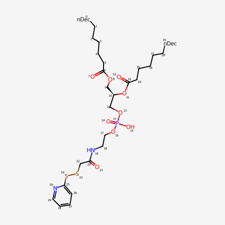 CCCCCCCCCCCCCCCC(=O)OC[C@H](COP(=O)(O)OCCNC(=O)CSSc1ccccn1)OC(=O)CCCCCCCCCCCCCCC